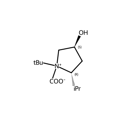 CC(C)[C@H]1C[C@H](O)C[N+]1(C(=O)[O-])C(C)(C)C